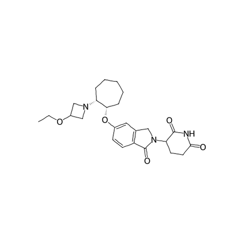 CCOC1CN([C@@H]2CCCCC[C@@H]2Oc2ccc3c(c2)CN(C2CCC(=O)NC2=O)C3=O)C1